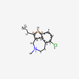 CN1CCc2c(Cl)ccc3sc(CC#N)c(c23)C1